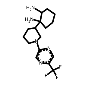 NC1CCCCC1(N)C1CCCN(c2cnc(C(F)(F)F)cn2)C1